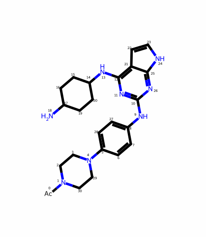 CC(=O)N1CCN(c2ccc(Nc3nc(NC4CCC(N)CC4)c4cc[nH]c4n3)cc2)CC1